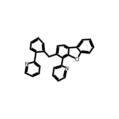 c1ccc(-c2ccccc2Cc2ccc3c(oc4ccccc43)c2-c2ccccn2)nc1